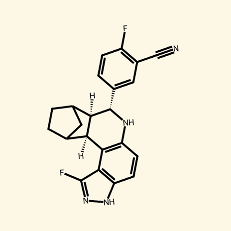 N#Cc1cc([C@@H]2Nc3ccc4[nH]nc(F)c4c3[C@H]3C4CCC(C4)[C@@H]23)ccc1F